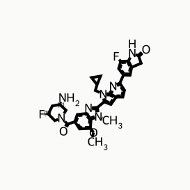 COc1cc(C(=O)N2C[C@H](N)C[C@@H](F)C2)cc2nc(-c3cc4ccc(-c5cc(F)c6c(c5)CC(=O)N6)nc4n3CC3CC3)n(C)c12